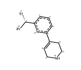 CC[C@H](c1cccc(C2=CCNCC2)n1)C(C)C